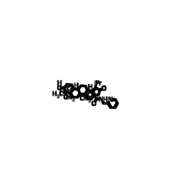 CC(C)C1=C2[C@H]3CC[C@@H]4[C@@]5(C)CC[C@H](O)C(C)(C)[C@@H]5CC[C@@]4(C)[C@]3(C)CC[C@@]2(C(=O)NCc2ccccn2)CC1=O